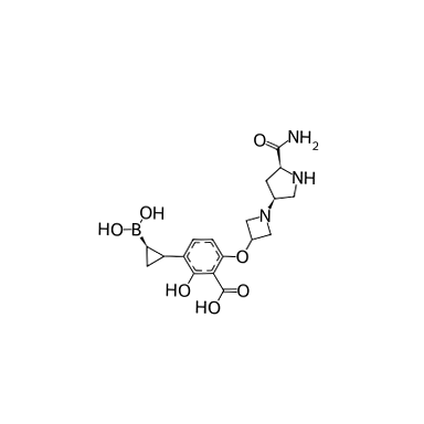 NC(=O)[C@@H]1C[C@H](N2CC(Oc3ccc(C4C[C@H]4B(O)O)c(O)c3C(=O)O)C2)CN1